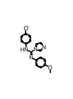 COc1ccc(N=C(Nc2ccc(Cl)cc2)n2ccnc2)cc1